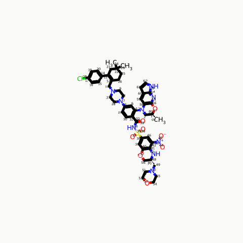 C[C@@H]1CN(c2cc(N3CCN(CC4=C(c5ccc(Cl)cc5)CC(C)(C)CC4)CC3)ccc2C(=O)NS(=O)(=O)c2cc3c(c([N+](=O)[O-])c2)N[C@H](CN2CCOCC2)CO3)c2cc3cc[nH]c3nc2O1